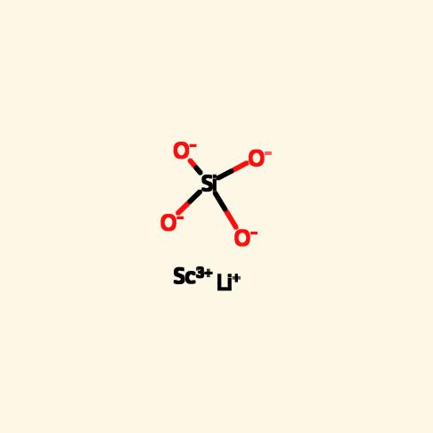 [Li+].[O-][Si]([O-])([O-])[O-].[Sc+3]